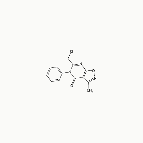 Cc1noc2nc(CCl)n(-c3ccccc3)c(=O)c12